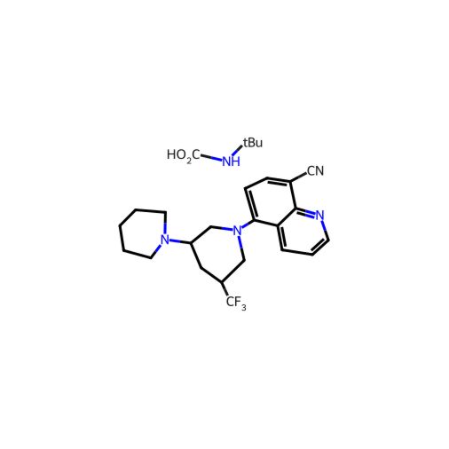 CC(C)(C)NC(=O)O.N#Cc1ccc(N2CC(N3CCCCC3)CC(C(F)(F)F)C2)c2cccnc12